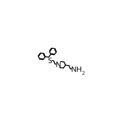 NCCC1CCN(CCSC(c2ccccc2)c2ccccc2)CC1